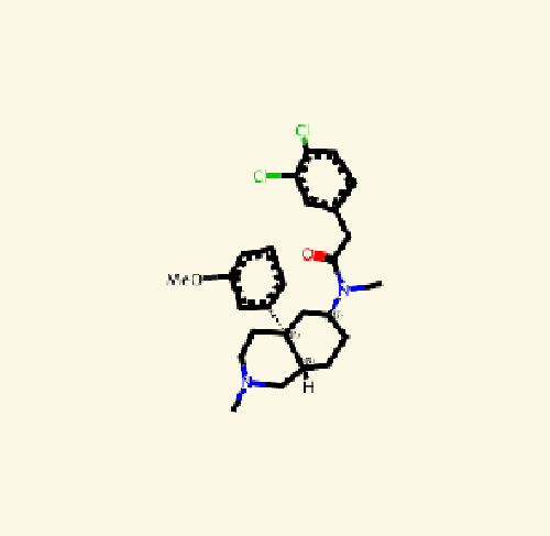 COc1cccc([C@@]23CCN(C)C[C@H]2CC[C@H](N(C)C(=O)Cc2ccc(Cl)c(Cl)c2)C3)c1